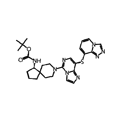 CC(C)(C)OC(=O)N[C@@H]1CCCC12CCN(c1ncc(Sc3cccn4cnnc34)c3nccn13)CC2